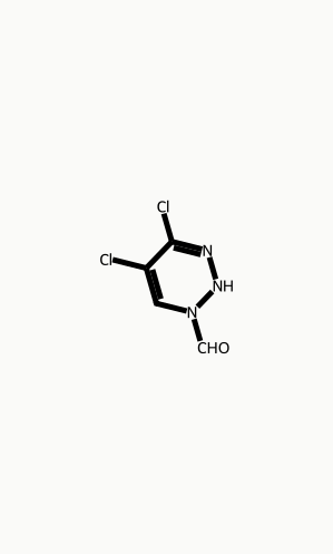 O=CN1C=C(Cl)C(Cl)=NN1